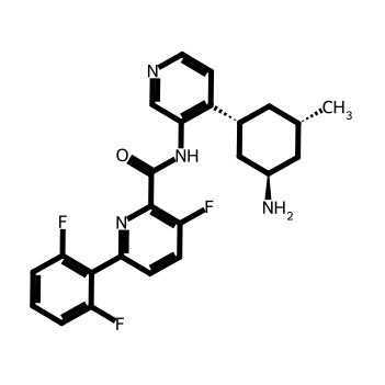 C[C@@H]1C[C@@H](N)C[C@H](c2ccncc2NC(=O)c2nc(-c3c(F)cccc3F)ccc2F)C1